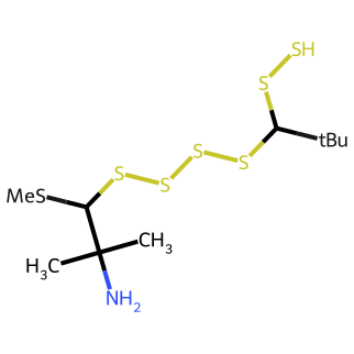 CSC(SSSSC(SS)C(C)(C)C)C(C)(C)N